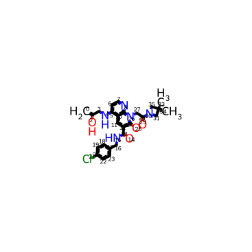 C=C(O)CNc1ccnc2c1cc(C(=O)NCc1ccc(Cl)cc1)c(=O)n2CC(=O)N1CC(C)(C)C1